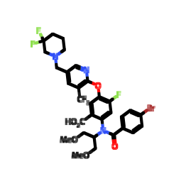 COCC(COC)N(C(=O)c1ccc(Br)cc1)c1cc(F)c(Oc2ncc(CN3CCCC(F)(F)C3)cc2C(F)(F)F)cc1C(=O)O